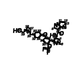 Cn1cc(NC(=O)c2cnn3cccnc23)c(-c2cc(Oc3ccc(CN4CC[C@@H]4CO)cc3)ccc2OC(F)F)n1